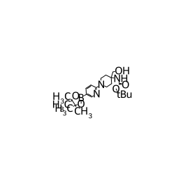 CC(C)(C)OC(=O)NC1(CO)CCN(c2ccc(B3OC(C)(C)C(C)(C)O3)cn2)CC1